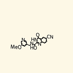 COc1cncc(CNC(=O)c2nc3ccc(C#N)cc3c(=O)[nH]2)c1